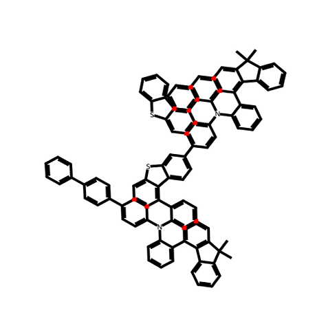 CC1(C)C2=C(C(c3ccccc3N(C3=CC=C(c4ccc(-c5ccccc5)cc4)CC3)c3ccccc3-c3cccc4sc5cc(-c6ccc(N(c7ccccc7-c7cccc8c7-c7ccccc7C8(C)C)c7ccccc7-c7cccc8sc9ccccc9c78)c(-c7ccccc7)c6)ccc5c34)=C=C=C2)c2ccccc21